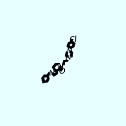 O=C1c2ccn(Cc3ccccc3)c2C=CCN1CCCN1CCN(c2ccc(Cl)cc2)CC1